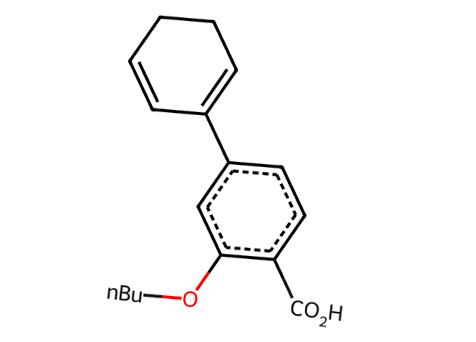 CCCCOc1cc(C2=CCCC=C2)ccc1C(=O)O